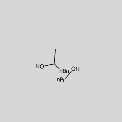 CCCCC(C)O.CCCO